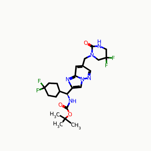 CC(C)(C)OC(=O)N[C@H](c1cn2ncc(CN3CC(F)(F)CNC3=O)cc2n1)C1CCC(F)(F)CC1